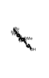 COc1cc2c(Oc3ccc(NC(=O)NCCC(C)(C)C)cc3)ccnc2cc1OCCCN1CCC(CCO)CC1